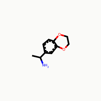 CC(N)c1ccc2c(c1)OCCO2